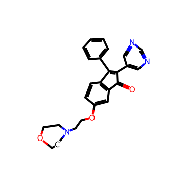 O=C1C(c2cncnc2)=C(c2ccccc2)c2ccc(OCCN3CCOCC3)cc21